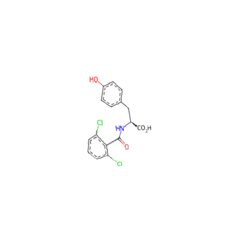 O=C(N[C@@H](Cc1ccc(O)cc1)C(=O)O)c1c(Cl)cccc1Cl